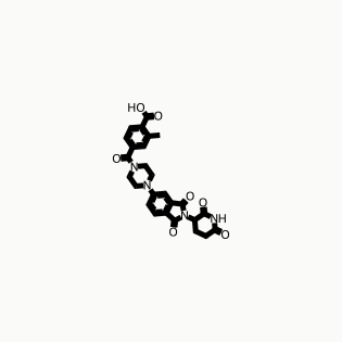 Cc1cc(C(=O)N2CCN(c3ccc4c(c3)C(=O)N(C3CCC(=O)NC3=O)C4=O)CC2)ccc1C(=O)O